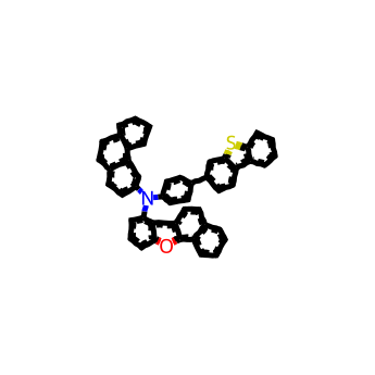 c1ccc2c(c1)ccc1ccc(N(c3ccc(-c4ccc5c(c4)sc4ccccc45)cc3)c3cccc4oc5c6ccccc6ccc5c34)cc12